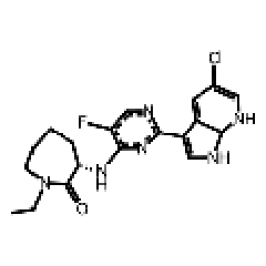 CCN1CCCC[C@H](Nc2nc(C3=CNC4NC=C(Cl)C=C34)ncc2F)C1=O